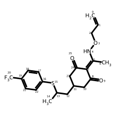 C=CCONC(C)=C1C(=O)CC(CC(C)Sc2ccc(C(F)(F)F)cc2)CC1=O